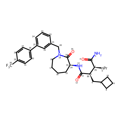 CCC[C@H](C(N)=O)[C@@H](CC1CCC1)C(=O)N[C@H]1CCCCN(Cc2cccc(-c3ccc(C(F)(F)F)cc3)c2)C1=O